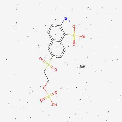 Nc1ccc2cc(S(=O)(=O)CCOS(=O)(=O)O)ccc2c1S(=O)(=O)O.[NaH]